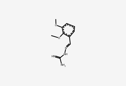 COc1cccc(C=NNC(=N)N)c1OC